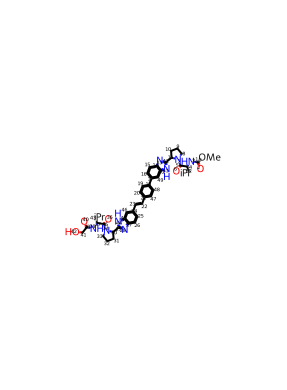 COC(=O)NC(C(=O)N1CCCC1c1nc2ccc(-c3ccc(/C=C/c4ccc5nc(C6CCCN6C(=O)C(NC(=O)CO)C(C)C)[nH]c5c4)cc3)cc2[nH]1)C(C)C